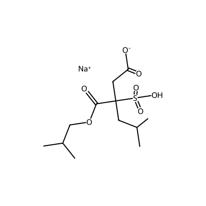 CC(C)COC(=O)C(CC(=O)[O-])(CC(C)C)S(=O)(=O)O.[Na+]